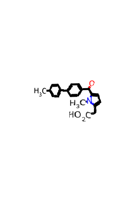 Cc1ccc(-c2ccc(C(=O)c3ccc(CC(=O)O)n3C)cc2)cc1